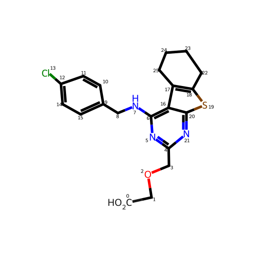 O=C(O)COCc1nc(NCc2ccc(Cl)cc2)c2c3c(sc2n1)CCCC3